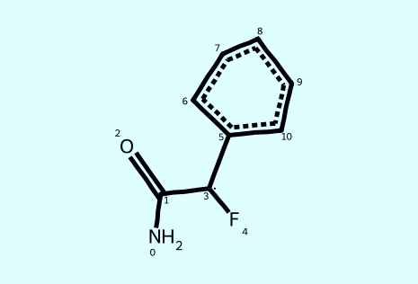 NC(=O)[C](F)c1ccccc1